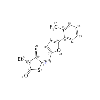 CCN1C(=O)S/C(=C/c2ccc(-c3ccccc3C(F)(F)F)o2)C1=S